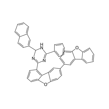 c1ccc(C2=NC(c3cccc4oc5ccc(-c6ccc7oc8ccccc8c7c6)cc5c34)=NC(c3ccc4ccccc4c3)N2)cc1